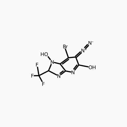 [N-]=[N+]=C1C(O)=NC2=NC(C(F)(F)F)N(O)C2=C1Br